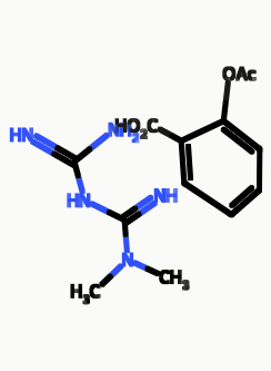 CC(=O)Oc1ccccc1C(=O)O.CN(C)C(=N)NC(=N)N